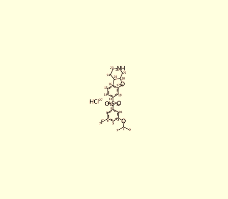 CC(C)Oc1cc(F)cc(S(=O)(=O)c2ccc3c(c2)OC2CNCCC32)c1.Cl